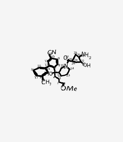 COCCCCC(O)(c1ccc(C#N)cc1-c1cccc(C)c1)C1CCCN(C(=O)C2CC(N)C(O)C2)C1